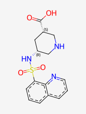 O=C(O)[C@@H]1CNC[C@H](NS(=O)(=O)c2cccc3cccnc23)C1